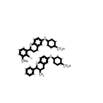 CC1Cc2cc(OC3CCC(C(=O)O)CC3)ccc2OC1c1ccccc1.COc1cccc(C2CCc3cc(OC4CCC(C(=O)O)CC4)ccc3O2)c1F